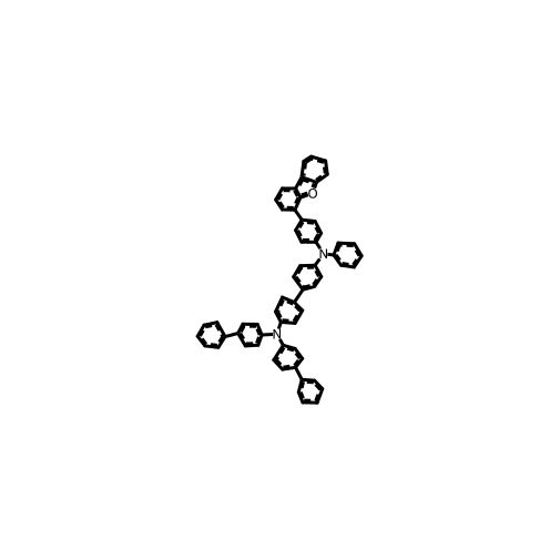 c1ccc(-c2ccc(N(c3ccc(-c4ccccc4)cc3)c3ccc(-c4ccc(N(c5ccccc5)c5ccc(-c6cccc7c6oc6ccccc67)cc5)cc4)cc3)cc2)cc1